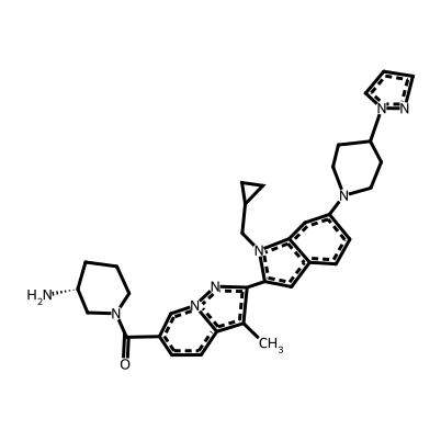 Cc1c(-c2cc3ccc(N4CCC(n5cccn5)CC4)cc3n2CC2CC2)nn2cc(C(=O)N3CCC[C@@H](N)C3)ccc12